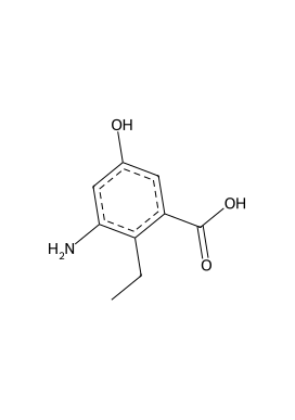 CCc1c(N)cc(O)cc1C(=O)O